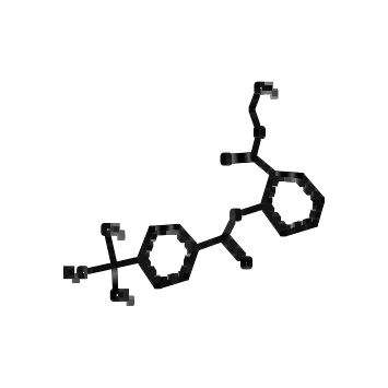 CCOC(=O)c1ccccc1OC(=O)c1ccc(C(C)(C)C)cc1